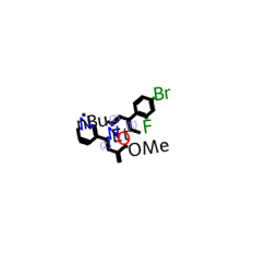 C=C(/C=C(/C1=CN(C)CC#C1)N(C)/C(=C\C(=C(\C)CC)c1ccc(Br)cc1F)CCCC)C(=O)OC